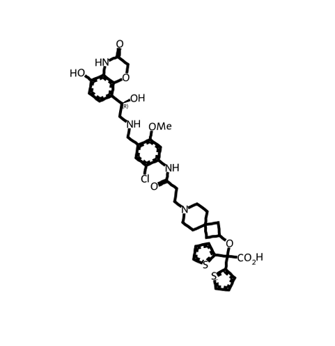 COc1cc(NC(=O)CCN2CCC3(CC2)CC(OC(C(=O)O)(c2cccs2)c2cccs2)C3)c(Cl)cc1CNC[C@H](O)c1ccc(O)c2c1OCC(=O)N2